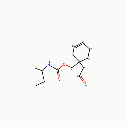 CCC(C)NC(=O)OCC1(CC=O)CC=CCC1